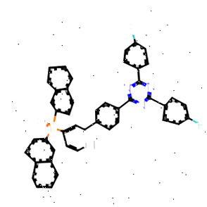 C/C=C\C(=C/Cc1ccc(-c2nc(-c3ccc(F)cc3)nc(-c3ccc(F)cc3)n2)cc1)P(=O)(c1ccc2ccccc2c1)c1ccc2ccccc2c1